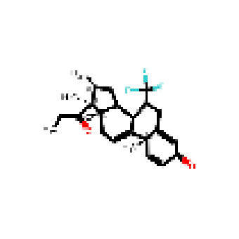 CCC(=O)[C@@]1(C)[C@@H](C)CC2C3C(=CC[C@@]21C)[C@@]1(C)C=CC(=O)C=C1CC3C(F)(F)F